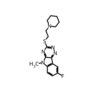 Cn1c2ccc(F)cc2c2nnc(SCCN3CCCCC3)nc21